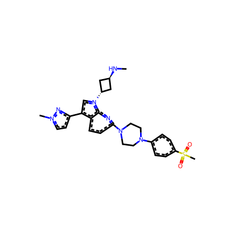 CN[C@H]1C[C@H](n2cc(-c3ccn(C)n3)c3ccc(N4CCN(c5ccc(S(C)(=O)=O)cc5)CC4)nc32)C1